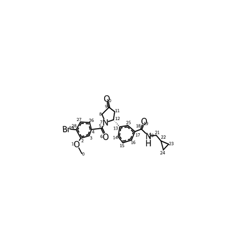 COc1cc(C(=O)N2CC(=O)C[C@@H]2c2cccc(C(=O)NCC3CC3)c2)ccc1Br